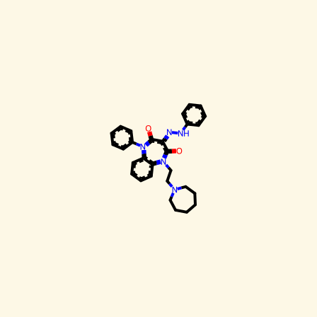 O=c1c(=NNc2ccccc2)c(=O)n(-c2ccccc2)c2ccccc2n1CCN1CCCCCC1